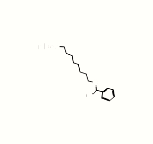 CCCCCCCCCCCCCCCCCCOC(Cl)c1ccccc1